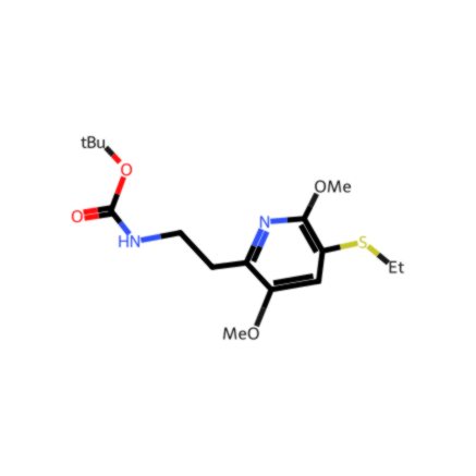 CCSc1cc(OC)c(CCNC(=O)OC(C)(C)C)nc1OC